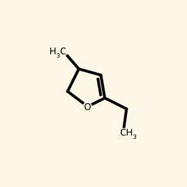 CCC1=CC(C)CO1